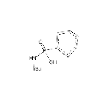 CCCCNP(=O)(O)c1ccccc1